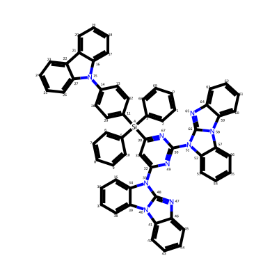 c1ccc([Si](c2ccccc2)(c2ccc(-n3c4ccccc4c4ccccc43)cc2)c2cc(-n3c4ccccc4n4c5ccccc5nc34)nc(-n3c4ccccc4n4c5ccccc5nc34)n2)cc1